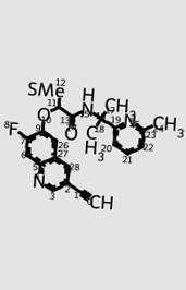 C#Cc1cnc2cc(F)c(OC(SC)C(=O)NC(C)(C)c3cccc(C)n3)cc2c1